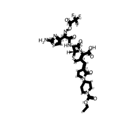 CCOC(=O)N1CCC(N2CC/C(=C\C3=C(C(=O)O)N4C(=O)[C@@H](NC(=O)/C(=N\OC(=O)C(F)(F)F)c5csc(N)n5)[C@H]4SC3)C2=O)CC1